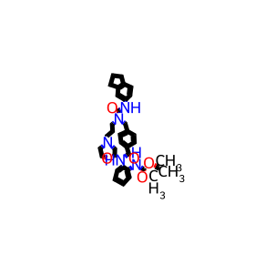 CC(C)(C)OC(=O)Nc1ccccc1NC(=O)c1ccc(CN(CCCN2CCOCC2)C(=O)Nc2ccc3c(c2)CCC3)cc1